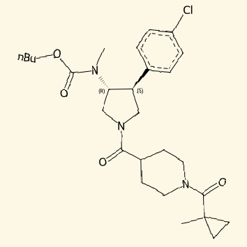 CCCCOC(=O)N(C)[C@H]1CN(C(=O)C2CCN(C(=O)C3(C)CC3)CC2)C[C@@H]1c1ccc(Cl)cc1